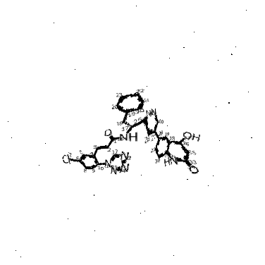 O=C(C=Cc1cc(Cl)ccc1-n1cnnn1)N[C@@H](Cc1ccccc1)c1cc(-c2ccc3[nH]c(=O)cc(O)c3c2)cnn1